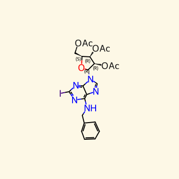 CC(=O)OC[C@@H]1O[C@@H](n2cnc3c(NCc4ccccc4)nc(I)nc32)[C@H](OC(C)=O)[C@@H]1OC(C)=O